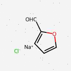 O=Cc1ccco1.[Cl-].[Na+]